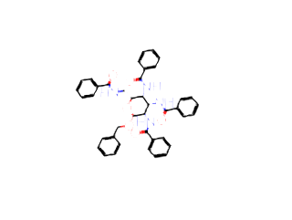 O=C(NC[C@H]1O[C@H](OCc2ccccc2)[C@@H](NC(=O)c2ccccc2)[C@H](NC(=O)c2ccccc2)[C@@H]1NC(=O)c1ccccc1)c1ccccc1